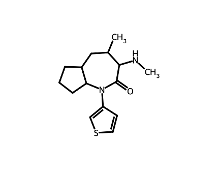 CNC1C(=O)N(c2ccsc2)C2CCCC2CC1C